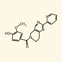 COc1cc(C(=O)N2CCc3nc(-c4ccccn4)ncc3C2)ccc1O